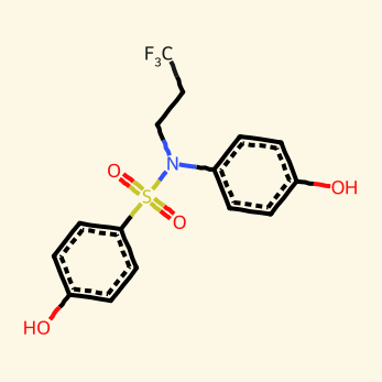 O=S(=O)(c1ccc(O)cc1)N(CCC(F)(F)F)c1ccc(O)cc1